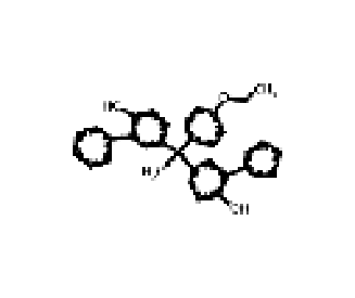 CCOc1ccc(C(C)(c2ccc(O)c(-c3ccccc3)c2)c2ccc(O)c(-c3ccccc3)c2)cc1